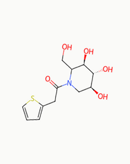 O=C(Cc1cccs1)N1C[C@H](O)[C@@H](O)[C@H](O)C1CO